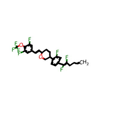 C=CCC/C(F)=C(\F)c1ccc(C2CCC(/C=C/c3cc(F)c(OC(F)(F)F)c(F)c3)OC2)c(F)c1